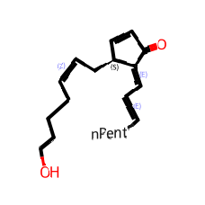 CCCCC/C=C/C=C1/C(=O)C=C[C@@H]1C/C=C\CCCCO